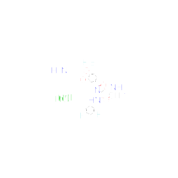 CC(N)c1oc(-c2ccc(OC(F)F)c(OCCCCN)c2)nc1C(=O)NCc1ccc(F)cc1F.Cl.Cl